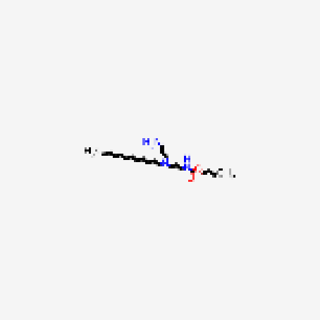 C=CCCOC(=O)NCCCN(CCCN)CCCCCCCCCCCC